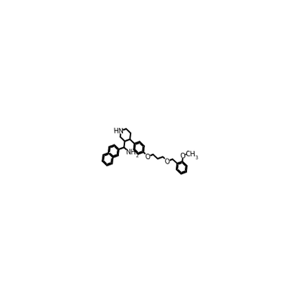 COc1ccccc1COCCCOc1ccc(C2CCNCC2C(N)c2ccc3ccccc3c2)cc1